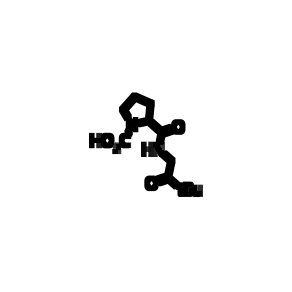 CC(C)(C)C(=O)CNC(=O)C1CCCN1C(=O)O